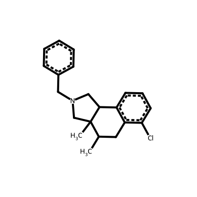 CC1Cc2c(Cl)cccc2C2CN(Cc3ccccc3)CC12C